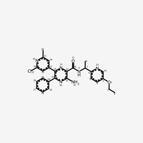 CCOc1ccc(C(C)NC(=O)c2nc(-c3cc(C)nc(Cl)c3)c(-c3ccccc3)nc2N)nc1